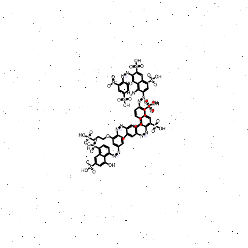 Cc1cc(/N=N\c2c(S(=O)(=O)O)cc3c(S(=O)(=O)O)c(N=Nc4cc(S(=O)(=O)O)c5cc(S(=O)(=O)O)c(/N=N\c6ccc(S(=O)(=O)O)cc6[N+](=O)[O-])c(O)c5c4N)ccc3c2O)c(OCCCS(=O)(=O)O)cc1/N=N\c1ccc(/N=N\c2ccc(S(=O)(=O)O)c3cc(S(=O)(=O)O)cc(O)c23)cc1OCCCS(=O)(=O)O